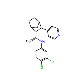 C=C(Nc1ccc(Cl)c(Cl)c1)C1C2CCC(C2)C1c1ccncc1